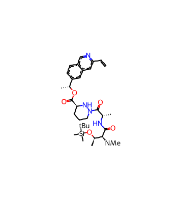 C=Cc1cc2cc([C@@H](C)OC(=O)[C@@H]3CCCN(C(=O)[C@H](C)NC(=O)[C@@H](NC)[C@@H](C)O[Si](C)(C)C(C)(C)C)N3)ccc2cn1